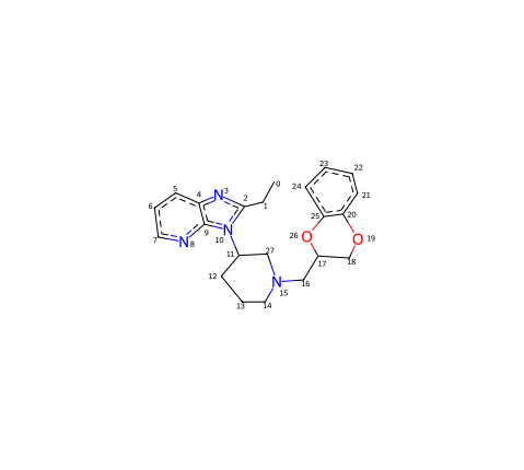 CCc1nc2cccnc2n1C1CCCN(CC2COc3ccccc3O2)C1